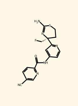 N#Cc1ccc(C(=O)Nc2ccnc([C@]3(CF)CCSC(N)=N3)c2)nc1